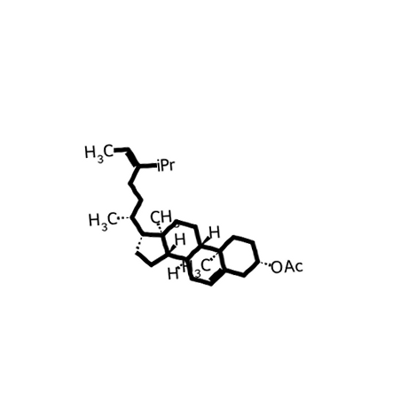 C/C=C(\CC[C@@H](C)[C@H]1CC[C@H]2[C@@H]3CC=C4C[C@@H](OC(C)=O)CC[C@]4(C)[C@H]3CC[C@]12C)C(C)C